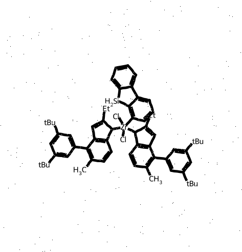 CCC1=Cc2c(ccc(C)c2-c2cc(C(C)(C)C)cc(C(C)(C)C)c2)[CH]1[Zr]([Cl])([Cl])([c]1cccc2c1[SiH2]c1ccccc1-2)[CH]1C(CC)=Cc2c1ccc(C)c2-c1cc(C(C)(C)C)cc(C(C)(C)C)c1